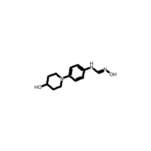 O/N=C/Nc1ccc(N2CCC(O)CC2)cc1